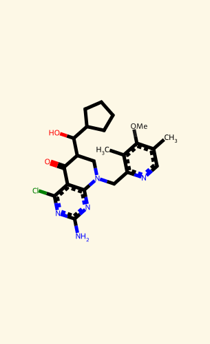 COc1c(C)cnc(CN2CC(C(O)C3CCCC3)C(=O)c3c(Cl)nc(N)nc32)c1C